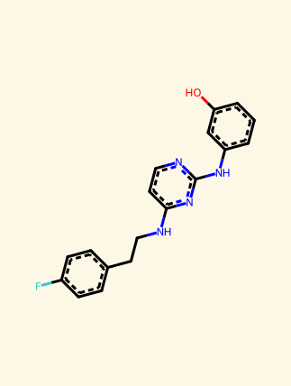 Oc1cccc(Nc2nccc(NCCc3ccc(F)cc3)n2)c1